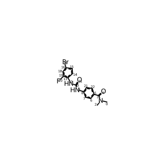 CN(C)C(=O)c1ccc(NC(=O)Nc2ccc(Br)cc2F)cc1